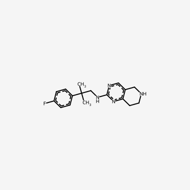 CC(C)(CNc1ncc2c(n1)CCNC2)c1ccc(F)cc1